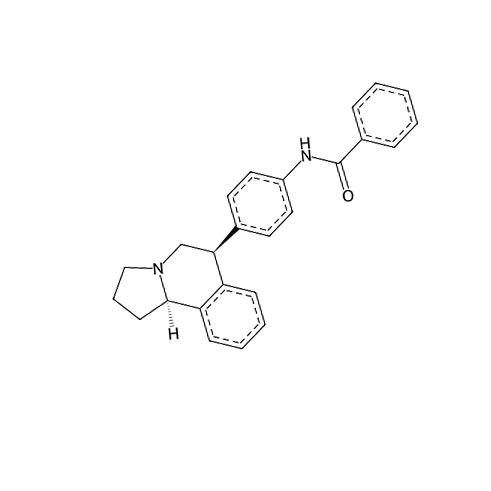 O=C(Nc1ccc([C@@H]2CN3CCC[C@@H]3c3ccccc32)cc1)c1ccccc1